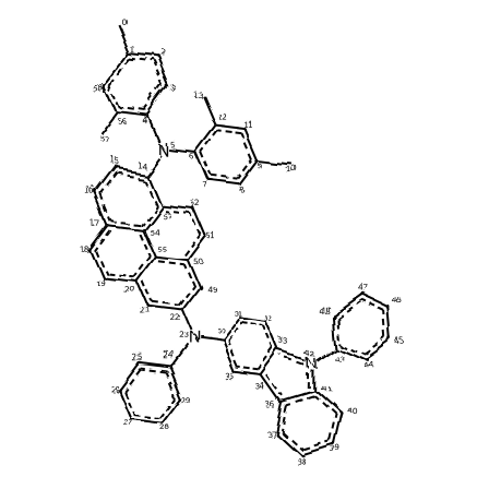 Cc1ccc(N(c2ccc(C)cc2C)c2ccc3ccc4cc(N(c5ccccc5)c5ccc6c(c5)c5ccccc5n6-c5ccccc5)cc5ccc2c3c45)c(C)c1